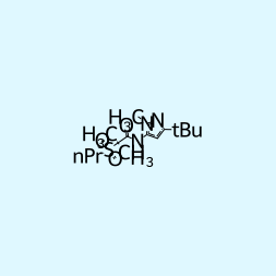 CCCS(=O)(=O)C(C)(C)C(=O)Nc1cc(C(C)(C)C)nn1C